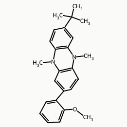 COc1ccccc1-c1ccc2c(c1)N(C)c1ccc(C(C)(C)C)cc1N2C